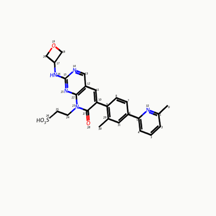 Cc1cccc(-c2ccc(-c3cc4cnc(NC5COC5)nc4n(CCS(=O)(=O)O)c3=O)c(C)c2)n1